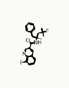 CC(C)(F)C[C@@](C)(Cc1ccccc1)NC(=O)c1cnc2c(F)cccc2c1